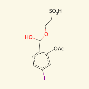 CC(=O)Oc1cc(I)ccc1C(O)OCCS(=O)(=O)O